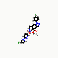 COC(=O)[C@]12Cc3cnn(-c4ccc(F)cc4)c3C=C1CCN(S(=O)(=O)c1ccc(N3CC[C@@H](F)C3)nc1)C2